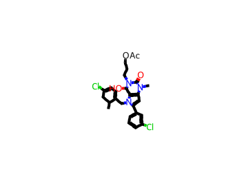 CC(=O)OCCCN1C(=O)N(C)c2cc(-c3cccc(Cl)c3)n(CC3=CC=C(Cl)CC3C)c2C1O